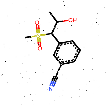 CC(O)C(c1cccc(C#N)c1)S(C)(=O)=O